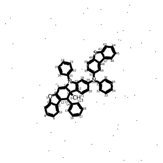 CC12C(=Cc3oc4ccccc4c3C1c1ccccc1)N(c1ccccc1)c1cc(N(c3ccccc3)c3ccc4sc5ccccc5c4c3)ccc12